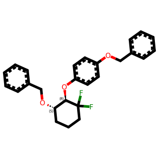 FC1(F)CCC[C@H](OCc2ccccc2)[C@H]1Oc1ccc(OCc2ccccc2)cc1